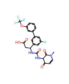 CN1C=CC(=O)C(NC(=O)NC(CC(=O)O)c2cc(F)cc(-c3cccc(OC(F)(F)F)c3)c2)C1=O